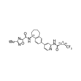 CC(C)(C)c1noc(C(=O)N[C@H]2CCCCc3cc(-c4ccnc(NC(=O)[C@H]5C[C@H]5C(F)(F)F)c4)ccc32)n1